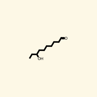 CCC(O)CCCCCCC=O